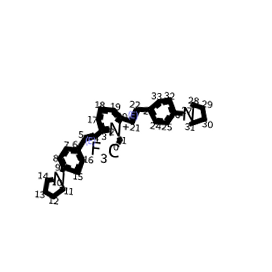 FC(F)(F)C[n+]1c(/C=C/c2ccc(N3CCCC3)cc2)cccc1/C=C/c1ccc(N2CCCC2)cc1